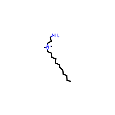 CCCCCCCCCCCC[N+](C)(C)CCCN